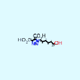 O=C(O)c1nnn(CCCCCCO)c1C(=O)O